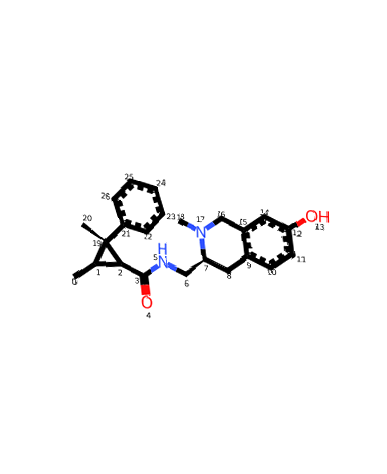 CC1C(C(=O)NC[C@@H]2Cc3ccc(O)cc3CN2C)[C@@]1(C)c1ccccc1